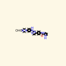 O=CN1CCN(c2ccc(Nc3nccc(-c4ccc(NC(=O)[C@H]5CCCN5)cc4)n3)cc2)CC1